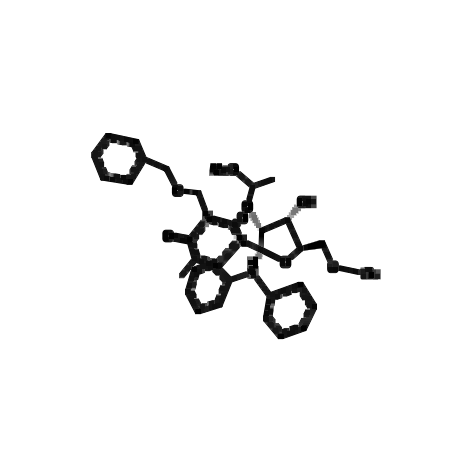 COC(C)O[C@@H]1[C@H](O)[C@@H](COC(C)(C)C)O[C@]1(n1cc(C)c(=O)n(COCc2ccccc2)c1=O)[SiH](c1ccccc1)c1ccccc1